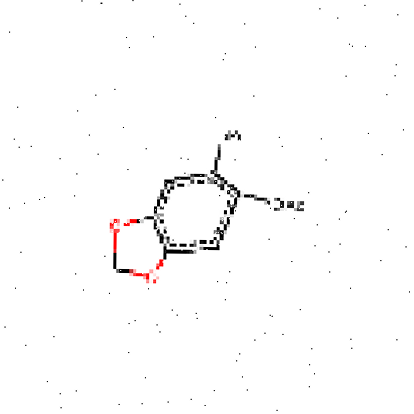 CCCc1cc2c(cc1OC(C)=O)OCO2